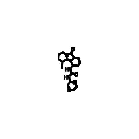 O=C(NC1=CC=CC2C(=O)N3CCCC(I)C3=C12)Nc1cnccn1